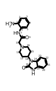 Nc1ccccc1NC(=O)CN1CCC(n2c(=O)[nH]c3ccccc32)CC1